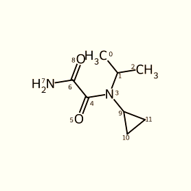 CC(C)N(C(=O)C(N)=O)C1CC1